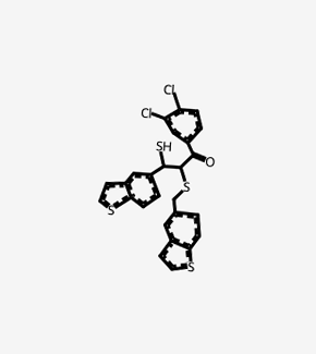 O=C(c1ccc(Cl)c(Cl)c1)C(SCc1ccc2sccc2c1)C(S)c1ccc2sccc2c1